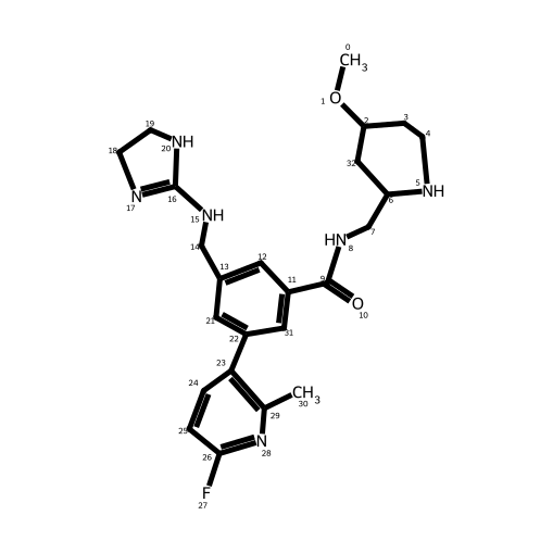 COC1CCNC(CNC(=O)c2cc(CNC3=NCCN3)cc(-c3ccc(F)nc3C)c2)C1